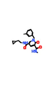 CNC(=O)c1cc(C(=O)NCCC2CC2)cn(Cc2cccc(C)c2)c1=O